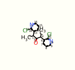 CC(C(=O)C(C)c1cccnc1Cl)c1cccnc1Cl